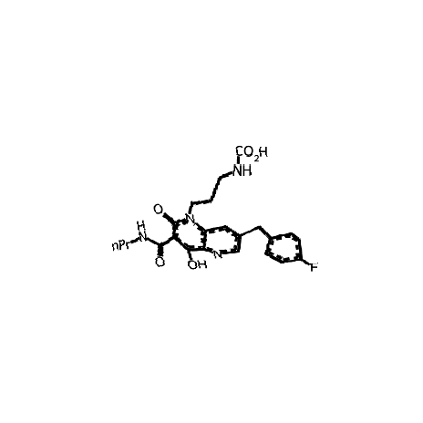 CCCNC(=O)c1c(O)c2ncc(Cc3ccc(F)cc3)cc2n(CCCNC(=O)O)c1=O